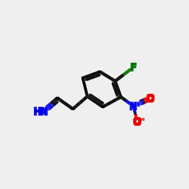 N=CCc1ccc(F)c([N+](=O)[O-])c1